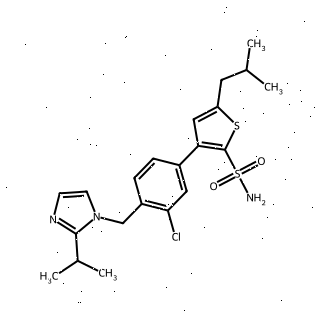 CC(C)Cc1cc(-c2ccc(Cn3ccnc3C(C)C)c(Cl)c2)c(S(N)(=O)=O)s1